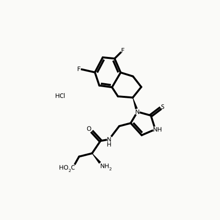 Cl.N[C@@H](CC(=O)O)C(=O)NCc1c[nH]c(=S)n1[C@@H]1CCc2c(F)cc(F)cc2C1